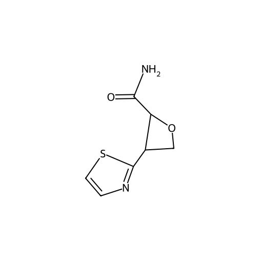 NC(=O)C1OCC1c1nccs1